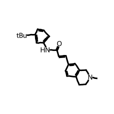 CN1CCc2ccc(/C=C/C(=O)Nc3cccc(C(C)(C)C)c3)cc2C1